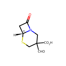 O=CC1(C(=O)O)CS[C@@H]2CC(=O)N2C1